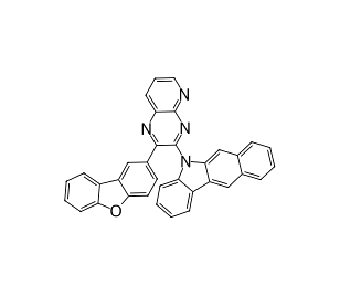 c1ccc2cc3c(cc2c1)c1ccccc1n3-c1nc2ncccc2nc1-c1ccc2oc3ccccc3c2c1